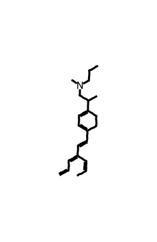 C=C/C=C(\C=C/C)/C=C/C1=CC=C(C(C)CN(C)CCC)CC1